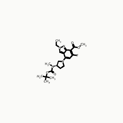 CCn1cc2c(N3CC[C@@H](N(C)C(=O)OC(C)(C)C)C3)cc(F)c(C(=O)OC)c2n1